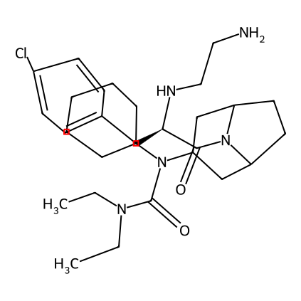 CCN(CC)C(=O)N(C1CCCCC1)C1CC2CCC(C1)N2C(=O)[C@@H](Cc1ccc(Cl)cc1)NCCN